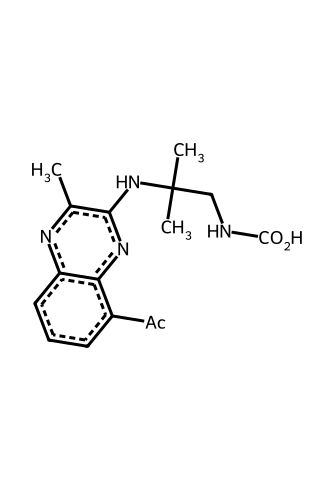 CC(=O)c1cccc2nc(C)c(NC(C)(C)CNC(=O)O)nc12